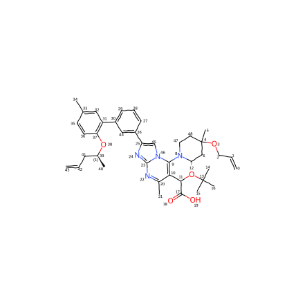 C=CCOC1(C)CCN(c2c(C(OC(C)(C)C)C(=O)O)c(C)nc3nc(-c4cccc(-c5cc(C)ccc5O[C@@H](C)CC=C)c4)cn23)CC1